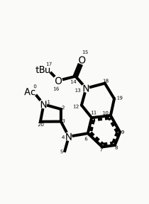 CC(=O)N1CC(N(C)c2cccc3c2CN(C(=O)OC(C)(C)C)CC3)C1